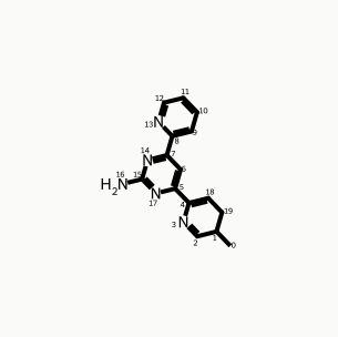 CC1C=NC(c2cc(-c3ccccn3)nc(N)n2)=CC1